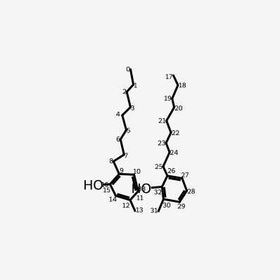 CCCCCCCCCc1ccc(C)cc1O.CCCCCCCCCc1cccc(C)c1O